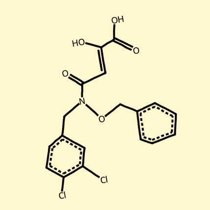 O=C(O)C(O)=CC(=O)N(Cc1ccc(Cl)c(Cl)c1)OCc1ccccc1